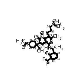 COC1(c2cc3c(N[C@H](C)c4cccc(C(F)F)c4F)nc(C)c(CCCN(C)C)c3n(C)c2=O)CCN(C(C)=O)CC1